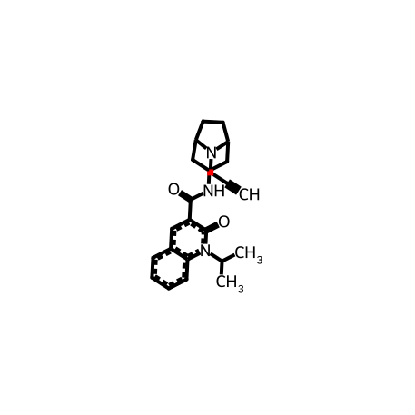 C#CCN1C2CCC1CC(NC(=O)c1cc3ccccc3n(C(C)C)c1=O)C2